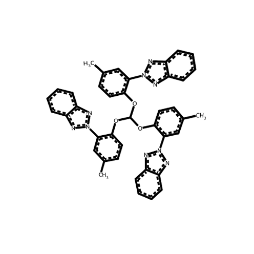 Cc1ccc(OC(Oc2ccc(C)cc2-n2nc3ccccc3n2)Oc2ccc(C)cc2-n2nc3ccccc3n2)c(-n2nc3ccccc3n2)c1